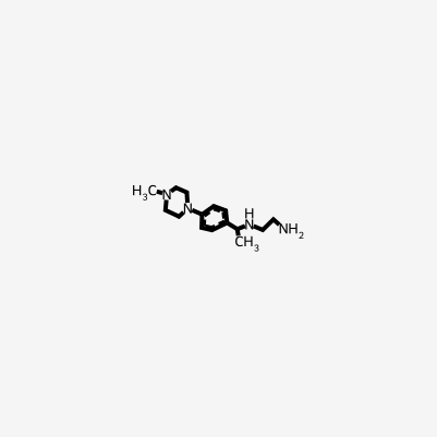 CC(NCCN)c1ccc(N2CCN(C)CC2)cc1